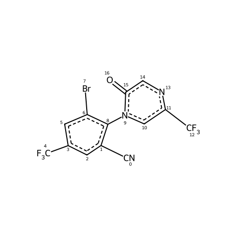 N#Cc1cc(C(F)(F)F)cc(Br)c1-n1cc(C(F)(F)F)ncc1=O